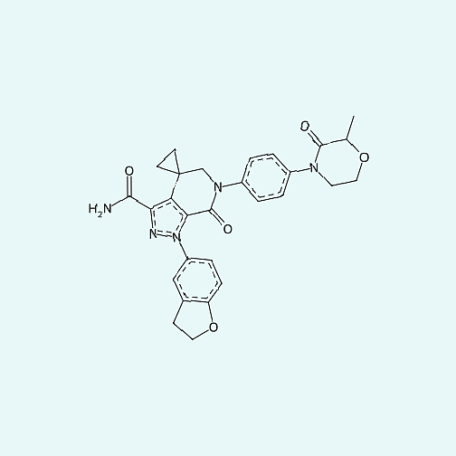 CC1OCCN(c2ccc(N3CC4(CC4)c4c(C(N)=O)nn(-c5ccc6c(c5)CCO6)c4C3=O)cc2)C1=O